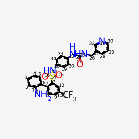 Nc1ccccc1-c1ccc(C(F)(F)F)cc1S(=O)(=O)Nc1ccc(NC(=O)NCc2cccnc2)cc1